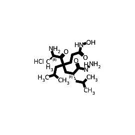 CC(C)C[C@H](CC(CCC(=O)NO)(CC(C)C)C(=O)[C@@H](C)N)C(=O)NN.Cl